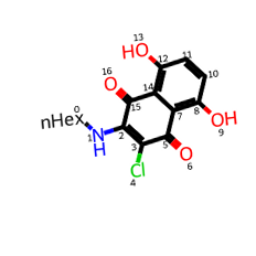 CCCCCCNC1=C(Cl)C(=O)c2c(O)ccc(O)c2C1=O